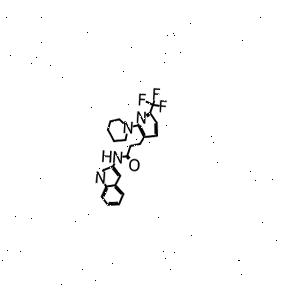 O=C(CCc1ccc(C(F)(F)F)nc1N1CCCCC1)Nc1cnc2ccccc2c1